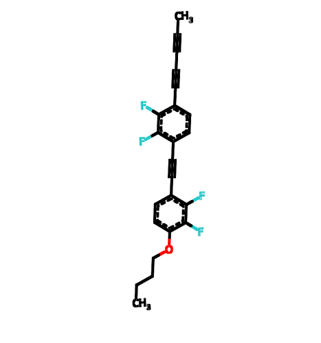 CC#CC#Cc1ccc(C#Cc2ccc(OCCCC)c(F)c2F)c(F)c1F